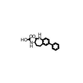 O=C(O)N[C@H]1CCc2cc(-c3ccccc3)ccc2NC1=O